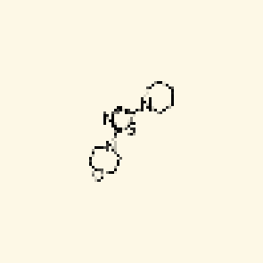 c1nc(N2CCOCC2)sc1N1CCCCC1